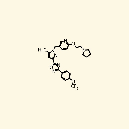 Cc1cc(-c2nc(-c3ccc(OC(F)(F)F)cc3)no2)nn1Cc1ccc(OCCN2CCCC2)nc1